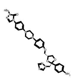 CCCCn1ncn(-c2ccc(N3CCN(c4ccc(OC[C@@H]5CO[C@@](Cn6cncn6)(c6ccc(N)cc6)O5)cc4)CC3)cc2)c1=O